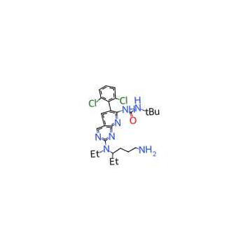 CCC(CCCN)N(CC)c1ncc2cc(-c3c(Cl)cccc3Cl)c(NC(=O)NC(C)(C)C)nc2n1